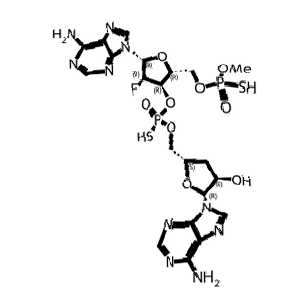 COP(=O)(S)OC[C@H]1O[C@@H](n2cnc3c(N)ncnc32)[C@H](F)[C@@H]1OP(=O)(S)OC[C@@H]1C[C@@H](O)[C@H](n2cnc3c(N)ncnc32)O1